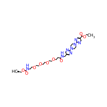 C#CCOC(=O)NCCOCCOCCOCCOCCC(=O)NCc1cnc(N2CCN(c3ncc(C(=O)OCC)cn3)CC2)nc1